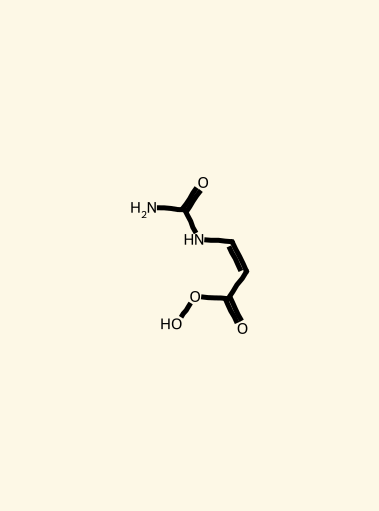 NC(=O)N/C=C\C(=O)OO